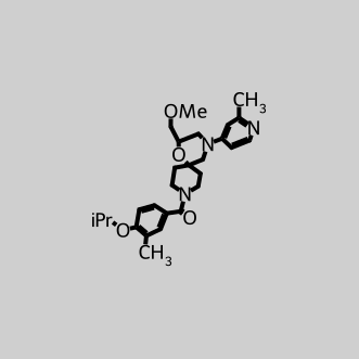 COCC1CN(c2ccnc(C)c2)CC2(CCN(C(=O)c3ccc(OC(C)C)c(C)c3)CC2)O1